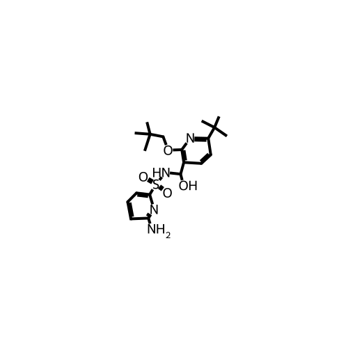 CC(C)(C)COc1nc(C(C)(C)C)ccc1C(O)NS(=O)(=O)c1cccc(N)n1